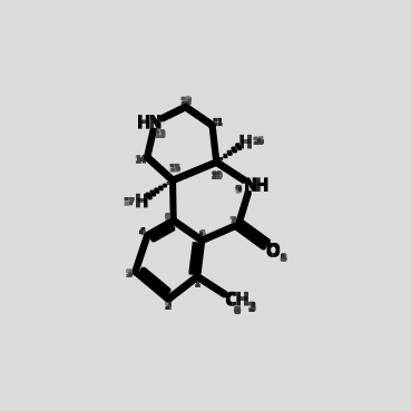 Cc1cccc2c1C(=O)N[C@@H]1CCNC[C@H]21